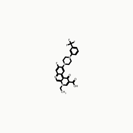 CCn1cc(C(=O)O)c(=O)c2c3cc(N4CCN(c5cccc(C(F)(F)F)c5)CC4)c(F)cc3ncc21